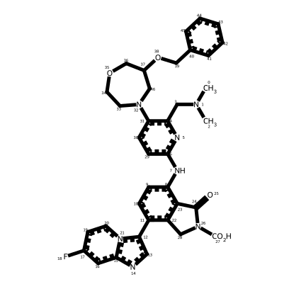 CN(C)Cc1nc(Nc2ccc(-c3cnc4cc(F)ccn34)c3c2C(=O)N(C(=O)O)C3)ccc1N1CCOCC(OCc2ccccc2)C1